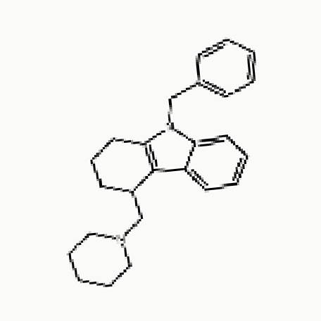 c1ccc(Cn2c3c(c4ccccc42)C(CN2CCCCC2)CCC3)cc1